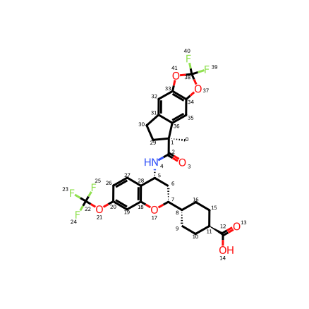 C[C@]1(C(=O)N[C@@H]2C[C@H]([C@H]3CC[C@H](C(=O)O)CC3)Oc3cc(OC(F)(F)F)ccc32)CCc2cc3c(cc21)OC(F)(F)O3